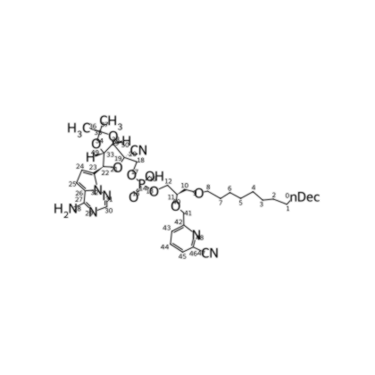 CCCCCCCCCCCCCCCCCCOC[C@H](COP(=O)(O)OC[C@@]1(C#N)O[C@@H](c2ccc3c(N)ncnn23)[C@@H]2OC(C)(C)O[C@@H]21)OCc1cccc(C#N)n1